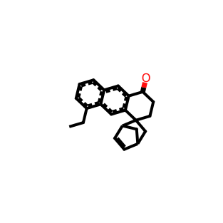 CCc1cccc2cc3c(cc12)C1(CCC3=O)CC2C=CC1C2